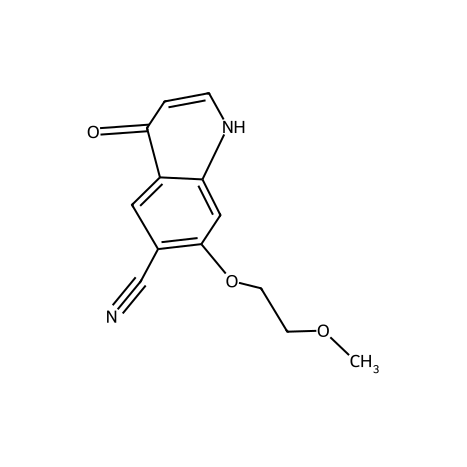 COCCOc1cc2[nH]ccc(=O)c2cc1C#N